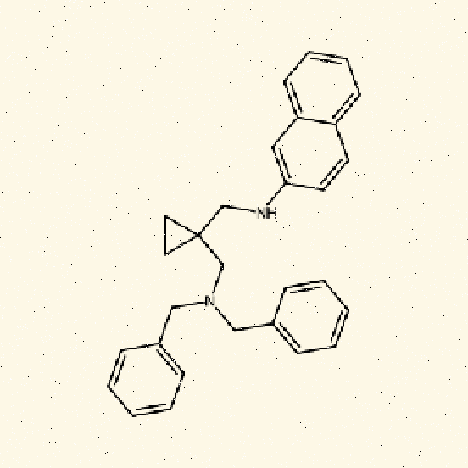 c1ccc(CN(Cc2ccccc2)CC2(CNc3ccc4ccccc4c3)CC2)cc1